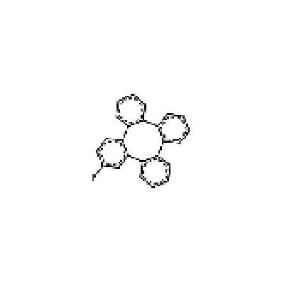 Ic1ccc2c(c1)-c1ccccc1-c1ccccc1-c1ccccc1-2